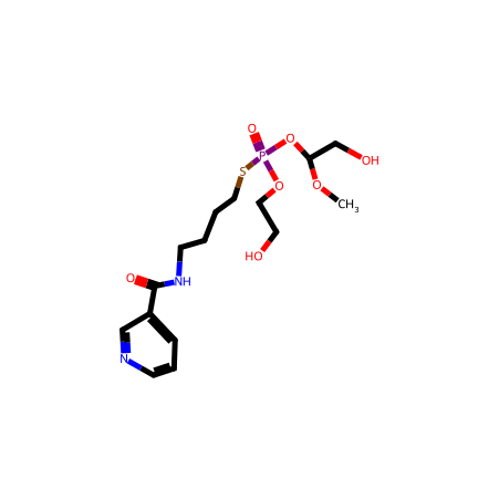 COC(CO)OP(=O)(OCCO)SCCCCNC(=O)c1cccnc1